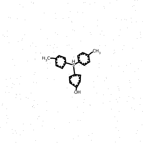 Cc1ccc([SH](c2ccc(C)cc2)c2ccc(O)cc2)cc1